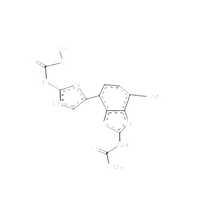 COC(=O)Nc1nc2c(OC)ccc(-c3c[nH]c(NC(=O)OC(C)(C)C)n3)c2s1